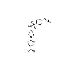 NC(=O)c1cnc(N2CC3C(C2)C3NS(=O)(=O)c2ccc(OC(F)(F)F)cc2)nc1